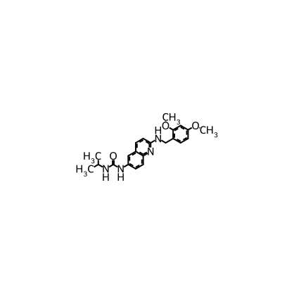 COc1ccc(CNc2ccc3cc(NC(=O)NC(C)C)ccc3n2)c(OC)c1